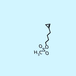 CS(=O)(=O)OCCCCC1=CC1